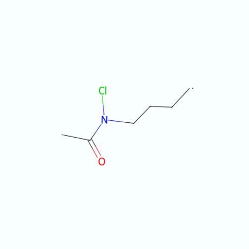 [CH2]CCCN(Cl)C(C)=O